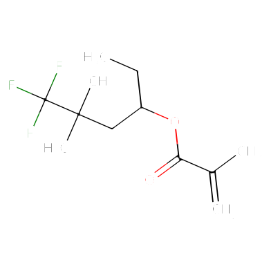 C=C(C)C(=O)OC(CC)CC(C)(C)C(F)(F)F